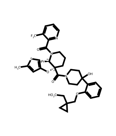 CCC[C@H]1N(C(=O)c2ncccc2C(F)(F)F)CCC[C@@]1(Oc1csc(C)c1)C(=O)N1CCC(O)(c2ccccc2OCC2(CC(=O)O)CC2)CC1